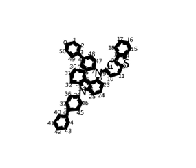 c1ccc(-c2ccc(N(c3ccc4sc5ccccc5c4c3)c3cccc4c3c3ccccc3n4-c3ccc(-c4ccccc4)cc3)cc2)cc1